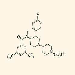 CN(C(=O)c1cc(C(F)(F)F)cc(C(F)(F)F)c1)[C@@H]1CCN(C2CCN(C(=O)O)CC2)C[C@H]1c1ccc(F)cc1